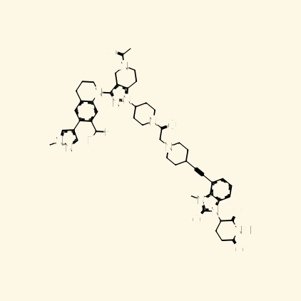 CC(=O)N1CCc2c(c(N3CCCc4cc(-c5cnn(C)c5)c(C(F)F)cc43)nn2C2CCN(C(=O)CN3CCC(C#Cc4cccc5c4n(C)c(=O)n5C4CCC(=O)NC4=O)CC3)CC2)C1